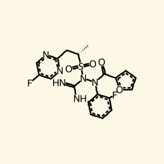 C[C@@H](Cc1ncc(F)cn1)S(=O)(=O)N(C(=N)N)N(C(=O)c1ccco1)c1ccccc1F